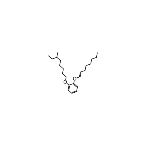 CCCCCCC=COc1c[c]ccc1OCCCCCC(C)CC